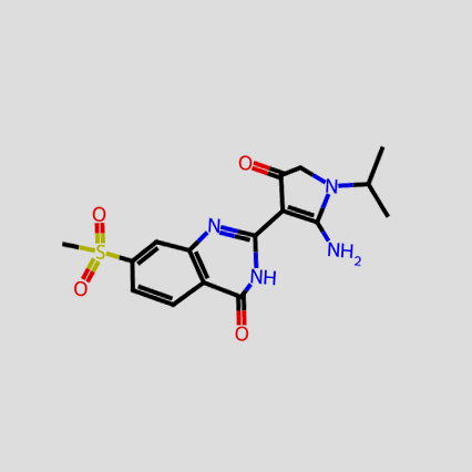 CC(C)N1CC(=O)C(c2nc3cc(S(C)(=O)=O)ccc3c(=O)[nH]2)=C1N